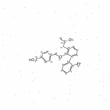 CCc1ccccc1-c1cccc(C[S+](C)[O-])c1OCc1ccc(C(=O)O)cc1